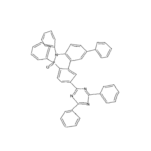 O=P1(c2ccccc2)c2ccc(-c3nc(-c4ccccc4)nc(-c4ccccc4)n3)cc2-c2cc(-c3ccccc3)ccc2N1c1ccccc1